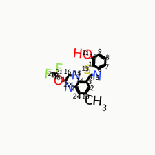 Cc1cc(-c2nc3cccc(O)c3s2)c2ncc(OC(F)F)nc2c1